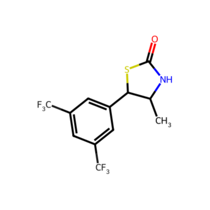 CC1NC(=O)SC1c1cc(C(F)(F)F)cc(C(F)(F)F)c1